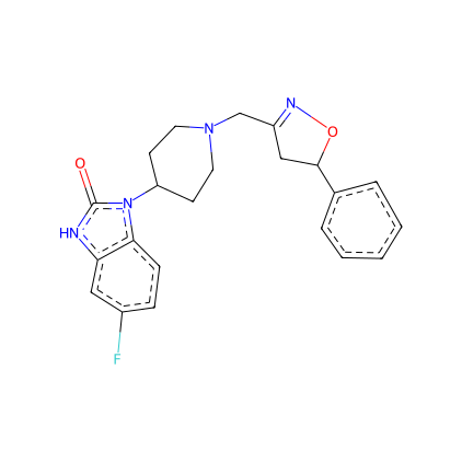 O=c1[nH]c2cc(F)ccc2n1C1CCN(CC2=NOC(c3ccccc3)C2)CC1